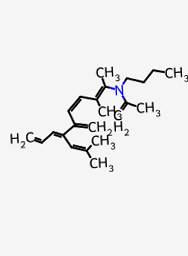 C=C/C=C(\C=C(C)C)C(=C)/C=C\C(C)=C(/C)N(CCCC)C(=C)C